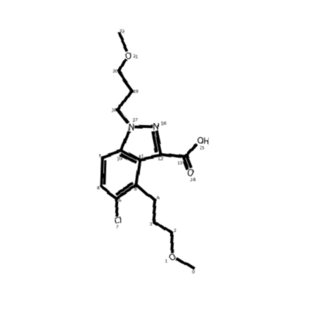 COCCCc1c(Cl)ccc2c1c(C(=O)O)nn2CCCOC